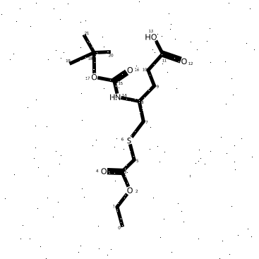 CCOC(=O)CSCC(CCC(=O)O)NC(=O)OC(C)(C)C